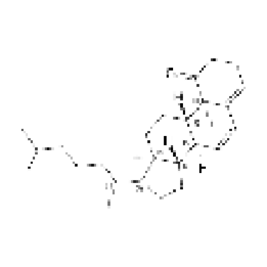 CC(C)CCC[C@@H](C)[C@H]1CC[C@H]2[C@@H]3C=CC4=CCCC(=O)[C@]4(C)[C@H]3CC[C@]12C